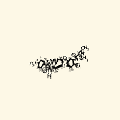 Cc1ccc(S(=O)(=O)Nc2ccc(Oc3ccc(Cl)c(NC(=O)c4cc(C)nn4C)c3)cn2)cc1